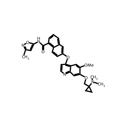 COc1cc2c(Oc3ccc4c(C(=O)Nc5cc(C)no5)cccc4c3)ccnc2cc1OCC1(N(C)C)CC1